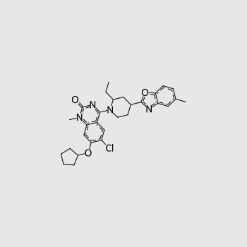 CCC1CC(c2nc3cc(C)ccc3o2)CCN1c1nc(=O)n(C)c2cc(OC3CCCC3)c(Cl)cc12